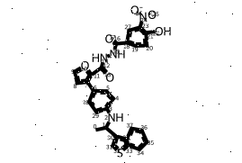 CC(Nc1ccc(-c2ccoc2C(=O)NNC(=O)c2ccc(O)c([N+](=O)[O-])c2)cc1)c1csc2ccccc12